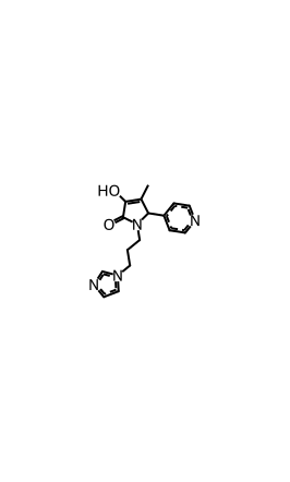 CC1=C(O)C(=O)N(CCCn2ccnc2)C1c1ccncc1